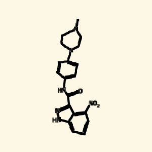 CN1CCN(c2ccc(NC(=O)c3n[nH]c4cccc([N+](=O)[O-])c34)cc2)CC1